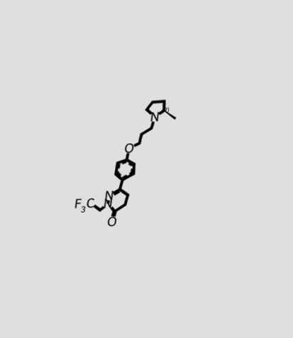 C[C@@H]1CCCN1CCCOc1ccc(C2=NN(CC(F)(F)F)C(=O)CC2)cc1